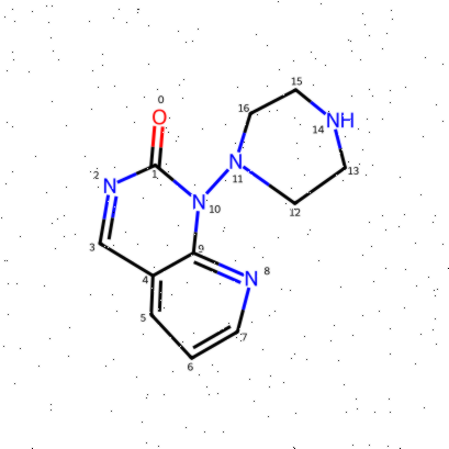 O=c1ncc2cccnc2n1N1CCNCC1